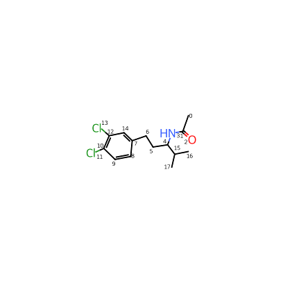 CC(=O)NC(CCc1ccc(Cl)c(Cl)c1)C(C)C